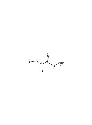 O=COC(=O)C(=O)CBr